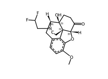 COc1ccc2c3c1O[C@H]1C(=O)CC[C@@]4(O)[C@@H](C2)N(CC(F)F)CC[C@]314